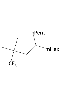 CCCCCCC(CCCCC)CC(C)(C)C(F)(F)F